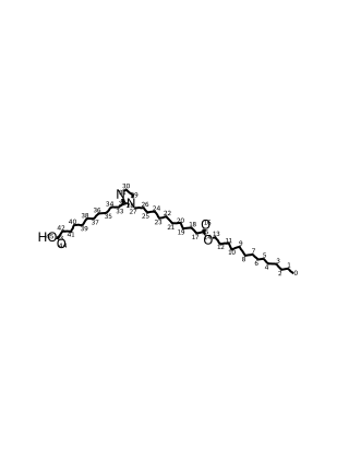 CCCCCCCCCCCCCCOC(=O)CCCCCCCCCCCN1CCN=C1CCCCCCCCCCC(=O)O